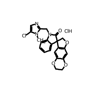 Cl.Cn1c(Cl)cnc1CN1C(=O)C2(COc3cc4c(cc32)OCCO4)c2ccccc21